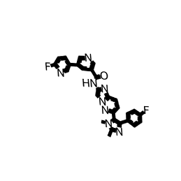 Cc1nc(-c2ccc(F)cc2)c(-c2ccc3nc(NC(=O)c4cncc(-c5ccc(F)nc5)c4)cn3n2)n1C